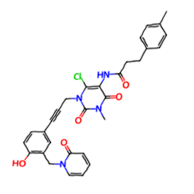 Cc1ccc(CCC(=O)Nc2c(Cl)n(CC#Cc3ccc(O)c(Cn4ccccc4=O)c3)c(=O)n(C)c2=O)cc1